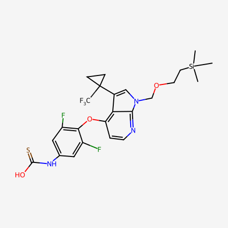 C[Si](C)(C)CCOCn1cc(C2(C(F)(F)F)CC2)c2c(Oc3c(F)cc(NC(O)=S)cc3F)ccnc21